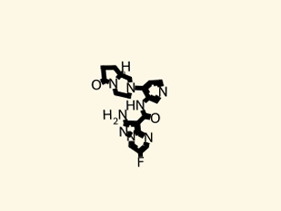 Nc1nn2cc(F)cnc2c1C(=O)Nc1cnccc1N1CCN2C(=O)CC[C@@H]2C1